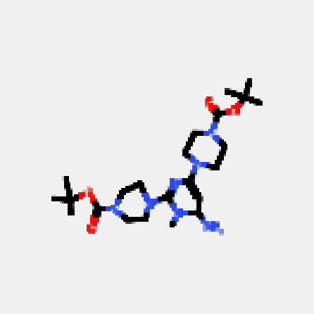 CN1C(N2CCN(C(=O)OC(C)(C)C)CC2)=NC(N2CCN(C(=O)OC(C)(C)C)CC2)=CC1N